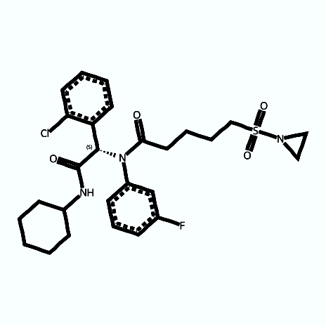 O=C(NC1CCCCC1)[C@H](c1ccccc1Cl)N(C(=O)CCCCS(=O)(=O)N1CC1)c1cccc(F)c1